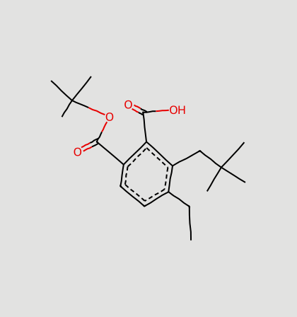 CCc1ccc(C(=O)OC(C)(C)C)c(C(=O)O)c1CC(C)(C)C